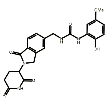 COc1ccc(O)c(NC(=O)NCc2ccc3c(c2)CN(C2CCC(=O)NC2=O)C3=O)c1